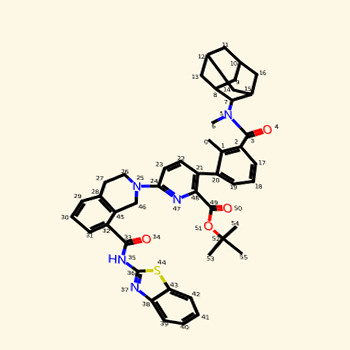 Cc1c(C(=O)N(C)C2C3CC4CC(C3)CC2C4)cccc1-c1ccc(N2CCc3cccc(C(=O)Nc4nc5ccccc5s4)c3C2)nc1C(=O)OC(C)(C)C